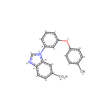 N#Cc1ccc(Oc2cccc(-n3cnc4ccc(C(=O)O)cc43)c2)cc1